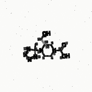 CC1(N2CCN(C(=O)O)C[C@H]2CO)N=NN=N1